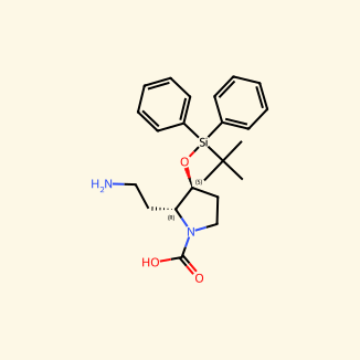 CC(C)(C)[Si](O[C@H]1CCN(C(=O)O)[C@@H]1CCN)(c1ccccc1)c1ccccc1